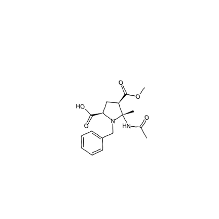 COC(=O)[C@@H]1C[C@H](C(=O)O)N(Cc2ccccc2)[C@@]1(C)NC(C)=O